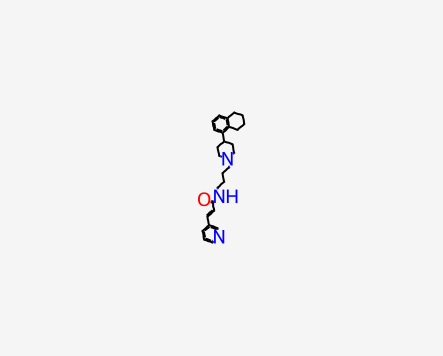 O=C(/C=C/c1cccnc1)NCCCCN1CCC(c2cccc3c2CCCC3)CC1